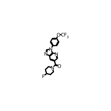 O=C(c1cnc2c(c1)ncn2-c1ccc(OC(F)(F)F)cc1)N1CCC(F)CC1